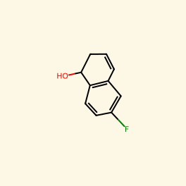 OC1CC=Cc2cc(F)ccc21